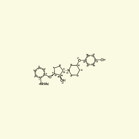 CC(=O)Nc1ccccc1O[C@H]1CC[C@H](N2CCCC(Oc3ccc(Cl)cc3)C2)[C@H]1O